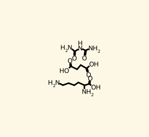 NC(=O)NC(N)=O.NCCCCC(N)C(=O)O.O=C(O)CCC(=O)O